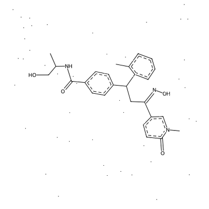 Cc1ccccc1C(C/C(=N/O)c1ccc(=O)n(C)c1)c1ccc(C(=O)NC(C)CO)cc1